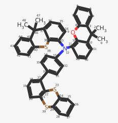 CC1(C)c2ccccc2Oc2c(N(c3ccc(-c4cccc5c4Sc4ccccc4S5)cc3)c3cccc4c3Sc3ccccc3C4(C)C)cccc21